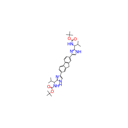 CC(C)C(NC(=O)OC(C)(C)C)c1nc(-c2ccc3c(c2)Cc2cc(-c4c[nH]c(C(NC(=O)OC(C)(C)C)C(C)C)n4)ccc2-3)c[nH]1